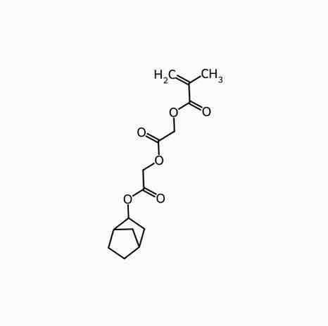 C=C(C)C(=O)OCC(=O)OCC(=O)OC1CC2CCC1C2